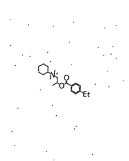 CCc1ccc(C(=O)OC(C)C[N+](C)(C)C2CCCCC2)cc1